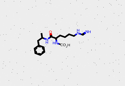 CC(Cc1ccccc1)NC(=O)C(CCCCNC=N)NC(=O)O